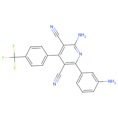 N#Cc1c(N)nc(-c2cccc(N)c2)c(C#N)c1-c1ccc(C(F)(F)F)cc1